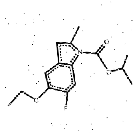 CCOc1cc2cc(C)n(C(=O)OC(C)C)c2cc1F